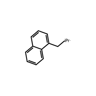 C[C](C)Cc1cccc2ccccc12